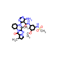 COc1cc(NC(=O)c2c(N)ncnc2N[C@@H](C)c2nn3ccc(C)c3c(=O)n2-c2ccccc2)cc(NS(C)(=O)=O)c1